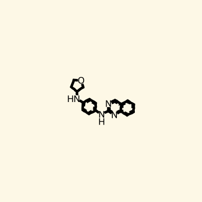 c1ccc2nc(Nc3ccc(NC4CCOC4)cc3)ncc2c1